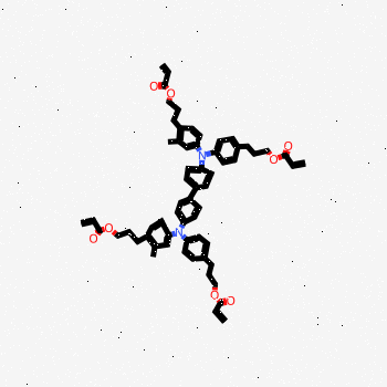 C=CC(=O)OCCCc1ccc(N(c2ccc(-c3ccc(N(c4ccc(CCCOC(=O)C=C)cc4)c4ccc(CCCOC(=O)C=C)c(C)c4)cc3)cc2)c2ccc(CCCOC(=O)C=C)c(C)c2)cc1